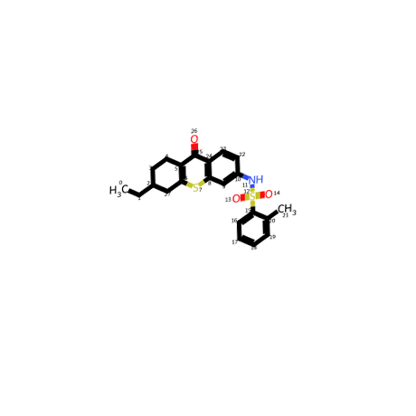 CCC1CCc2c(sc3cc(NS(=O)(=O)c4ccccc4C)ccc3c2=O)C1